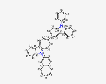 C1=CCc2ccc(-n3c4c(c5ccccc53)=CC=C(c3ccc5c(c3)c3ccccc3n5-c3ccccc3)CC=4)cc2C=C1